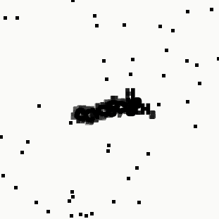 CS(=O)(=O)Nc1ccc2c(c1)C=CC1(CCC(N3CCc4ccccc4C3)CC1)O2